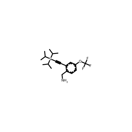 CC(C)[Si](C#Cc1cc(OC(F)(F)F)ccc1CN)(C(C)C)C(C)C